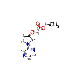 CCOC(=O)CO[C@H]1CCN(c2cnccn2)C1